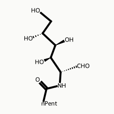 CCCCCC(=O)N[C@@H](C=O)[C@@H](O)[C@H](O)[C@H](O)CO